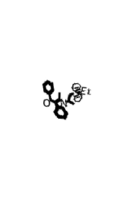 CCS(=O)(=O)CC(C)n1c(C)c(C(=O)c2ccccc2)c2ccccc21